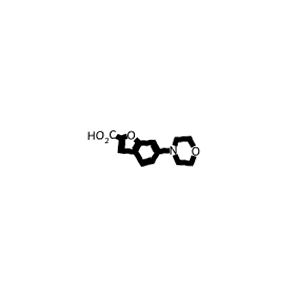 O=C(O)c1cc2ccc(N3CCOCC3)cc2o1